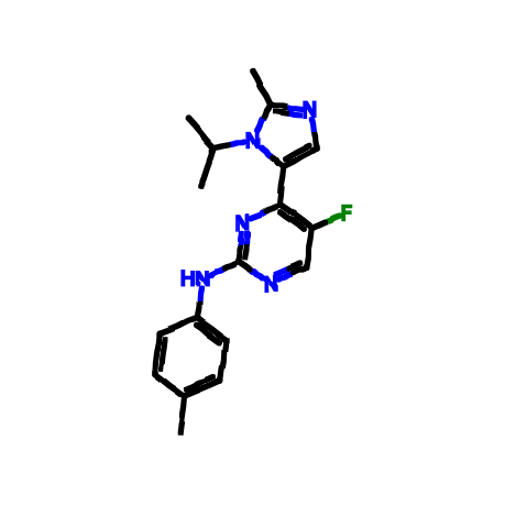 Cc1ccc(Nc2ncc(F)c(-c3cnc(C)n3C(C)C)n2)cc1